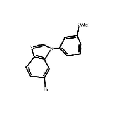 COc1cccc(-n2cnc3ccc(Br)cc32)c1